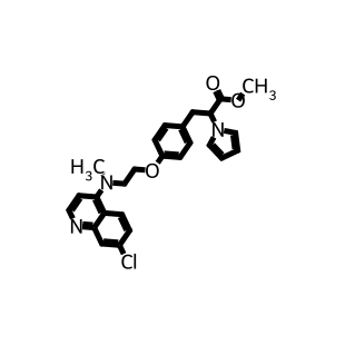 COC(=O)C(Cc1ccc(OCCN(C)c2ccnc3cc(Cl)ccc23)cc1)n1cccc1